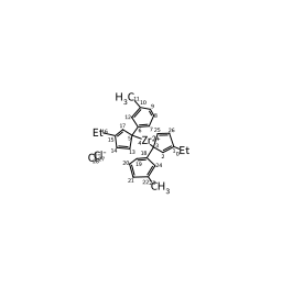 CCC1=C[C]([Zr+2][C]2(c3cccc(C)c3)C=CC(CC)=C2)(c2cccc(C)c2)C=C1.[Cl-].[Cl-]